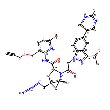 C#CCOCc1ccc(Br)nc1NC(=O)[C@@H]1C[C@@]2(CN=[N+]=[N-])C[C@H]2N1C(=O)Cn1nc(C(C)=O)c2cc(-c3cnc(C)nc3)ccc21